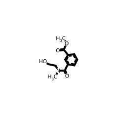 COC(=O)c1cccc(C(=O)N(C)CCO)c1